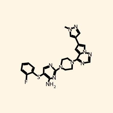 Cn1cc(-c2cc3c(N4CCN(c5ncc(Sc6ccccc6F)c(N)n5)CC4)ncnn3c2)cn1